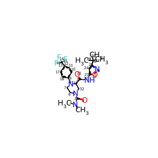 CN(C)C(=O)N1CCN(c2ccc(C(F)(F)F)cc2)C(C(=O)Nc2cc(C(C)(C)C)no2)C1